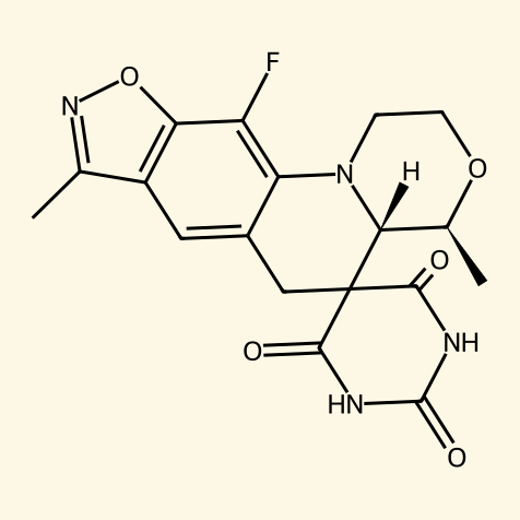 Cc1noc2c(F)c3c(cc12)CC1(C(=O)NC(=O)NC1=O)[C@H]1[C@H](C)OCCN31